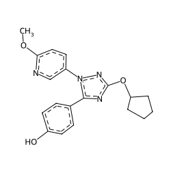 COc1ccc(-n2nc(OC3CCCC3)nc2-c2ccc(O)cc2)cn1